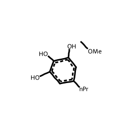 CCCc1cc(O)c(O)c(O)c1.COC